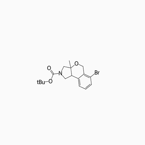 CC(C)(C)OC(=O)N1CC2c3cccc(Br)c3COC2(C)C1